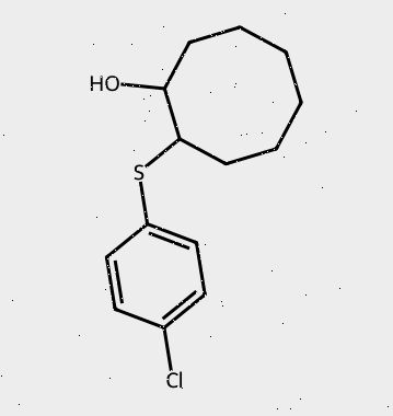 OC1CCCCCCC1Sc1ccc(Cl)cc1